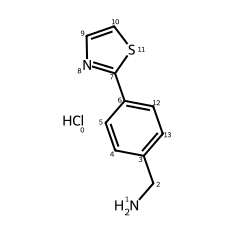 Cl.NCc1ccc(-c2nccs2)cc1